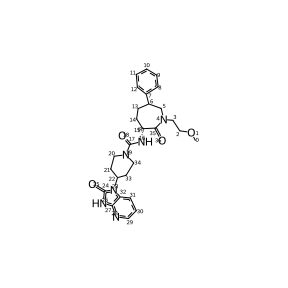 COCCN1CC(c2ccccc2)CC[C@@H](NC(=O)N2CCC(n3c(=O)[nH]c4ncccc43)CC2)C1=O